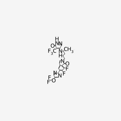 CC(CCCn1ccc2cc(-c3ncc(OC(F)F)cn3)c(F)c(F)c2c1=O)Nc1cn[nH]c(=O)c1C(F)(F)F